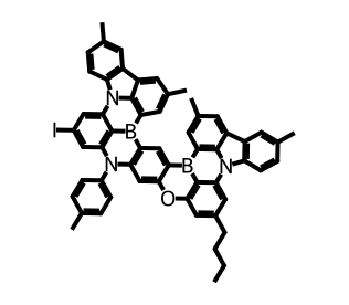 CCCCc1cc2c3c(c1)-n1c4ccc(C)cc4c4cc(C)cc(c41)B3c1cc3c(cc1O2)N(c1ccc(C)cc1)c1cc(I)cc2c1B3c1cc(C)cc3c4cc(C)ccc4n-2c13